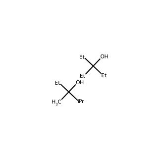 CCC(C)(O)C(C)C.CCC(O)(CC)CC